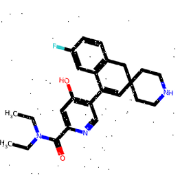 CCN(CC)C(=O)c1cc(O)c(C2=CC3(CCNCC3)Cc3ccc(F)cc32)cn1